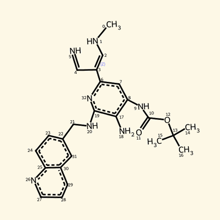 CN/C=C(\C=N)c1cc(NC(=O)OC(C)(C)C)c(N)c(NCc2ccc3ncccc3c2)n1